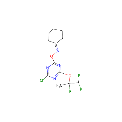 FC(F)C(F)(Oc1nc(Cl)nc(ON=C2CCCCC2)n1)C(F)(F)F